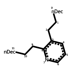 CCCCCCCCCCCCc1cccnc1CCCCCCCCCCCC